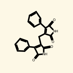 O=C1NC(=O)C(c2ccccc2)=C1CC1=C(c2ccccc2)C(=O)NC1=O